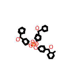 CC1C=CC=CC1C(=O)c1ccc(OP(=O)(Oc2ccc(C(=O)c3ccccc3)cc2)Oc2ccc(C(=O)c3ccccc3)cc2)cc1